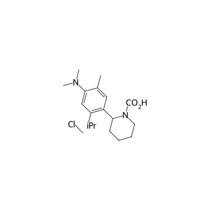 CCl.Cc1cc(C2CCCCN2C(=O)O)c(C(C)C)cc1N(C)C